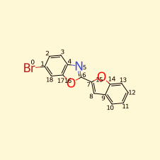 Brc1ccc2nc(-c3cc4ccccc4o3)oc2c1